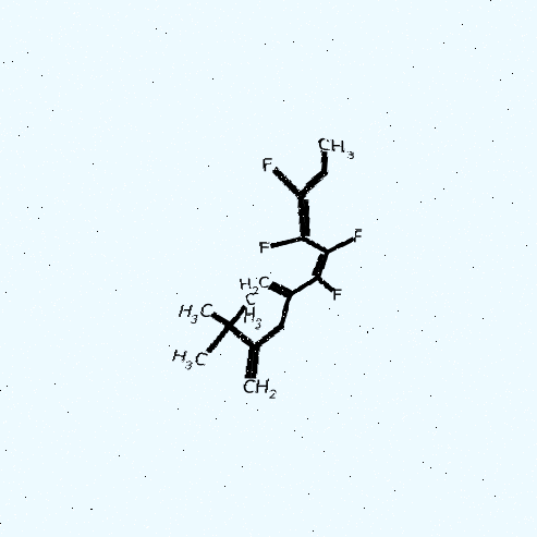 C=C(CC(=C)C(C)(C)C)/C(F)=C(F)\C(F)=C(\F)CC